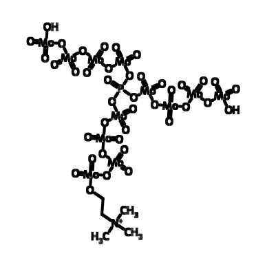 C[N+](C)(C)CC[O][Mo](=[O])(=[O])[O][Mo](=[O])(=[O])[O][Mo](=[O])(=[O])[O][Mo](=[O])(=[O])[O]P(=O)([O][Mo](=[O])(=[O])[O][Mo](=[O])(=[O])[O][Mo](=[O])(=[O])[O][Mo](=[O])(=[O])[OH])[O][Mo](=[O])(=[O])[O][Mo](=[O])(=[O])[O][Mo](=[O])(=[O])[O][Mo](=[O])(=[O])[OH]